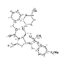 COc1ccc(CN([C@H]2C[C@@H](C)N(C(=O)OCc3ccccc3)[C@H]2COC2CCC(O)CC2)S(C)(=O)=O)cc1